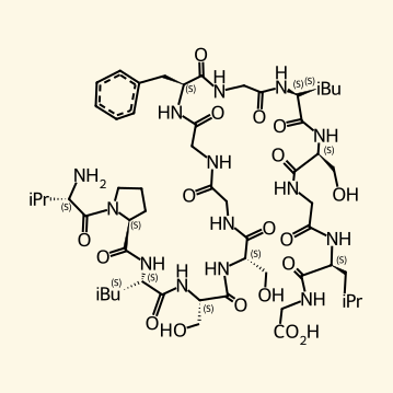 CC[C@H](C)[C@H](NC(=O)CNC(=O)[C@H](Cc1ccccc1)NC(=O)CNC(=O)CNC(=O)[C@H](CO)NC(=O)[C@H](CO)NC(=O)[C@@H](NC(=O)[C@@H]1CCCN1C(=O)[C@@H](N)C(C)C)[C@@H](C)CC)C(=O)N[C@@H](CO)C(=O)NCC(=O)N[C@@H](CC(C)C)C(=O)NCC(=O)O